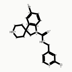 O=C(NCc1ccnc(Cl)c1)N1CC2(CCNCC2)c2cc(Br)ccc21